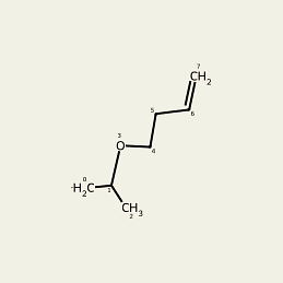 [CH2]C(C)OCCC=C